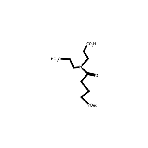 CCCCCCCCCCCCCC(=O)N(CCC(=O)O)CCC(=O)O